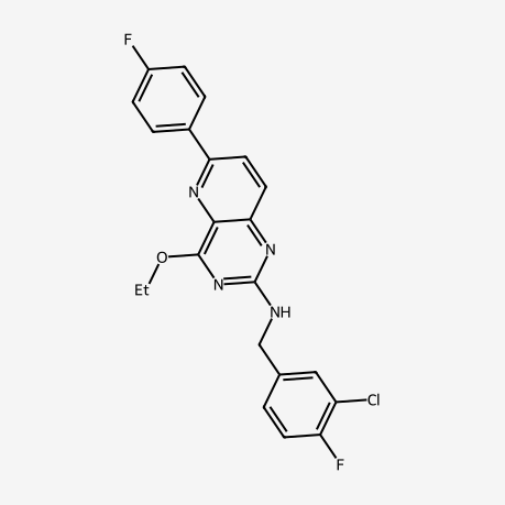 CCOc1nc(NCc2ccc(F)c(Cl)c2)nc2ccc(-c3ccc(F)cc3)nc12